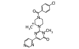 C[C@@H]1CN(C(=O)c2ccc(Cl)cc2)CCN1c1nc(-c2ccncn2)cc(=O)n1C